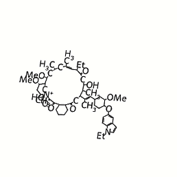 CCC1/C=C(\C)CC(C)CC(OC)C2C[N+](O)(C(=O)C(=O)C3CCCCC3C(=O)CC(C(C)=CC3CCC(Oc4ccc5c(ccn5CC)c4)C(OC)C3)C(C)C(O)CC1=O)C(C)CC2OC